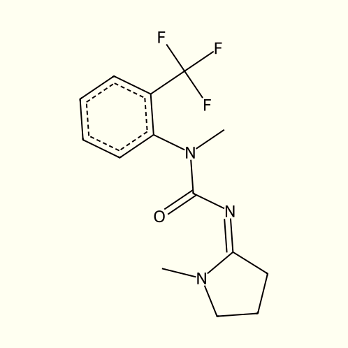 CN1CCCC1=NC(=O)N(C)c1ccccc1C(F)(F)F